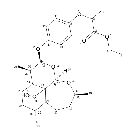 CCOC(=O)C(C)Oc1ccc(O[C@H]2O[C@H]3O[C@@H](C)CCC4[C@H](C)CCC([C@H]2C)C43OO)cc1